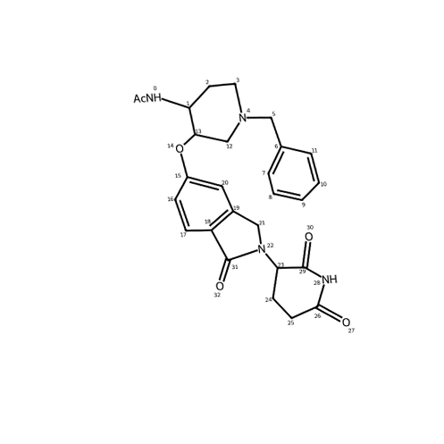 CC(=O)NC1CCN(Cc2ccccc2)CC1Oc1ccc2c(c1)CN(C1CCC(=O)NC1=O)C2=O